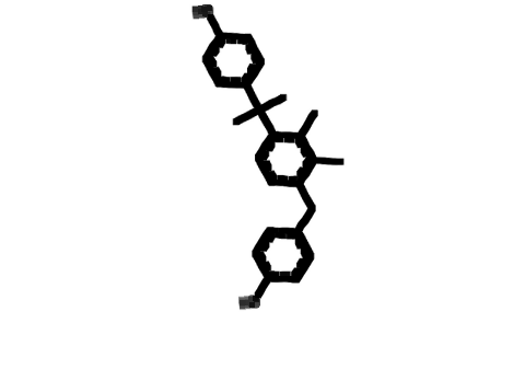 Cc1c(Cc2ccc(O)cc2)ccc(C(C)(C)c2ccc(O)cc2)c1C